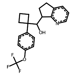 OC(C1CCc2cccnc21)C1(c2ccc(OC(F)(F)F)cc2)CCC1